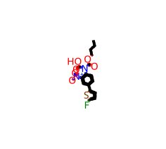 CCCCOC(=O)N(C(=O)O)c1ccc(-c2ccc(F)s2)cc1[N+](=O)[O-]